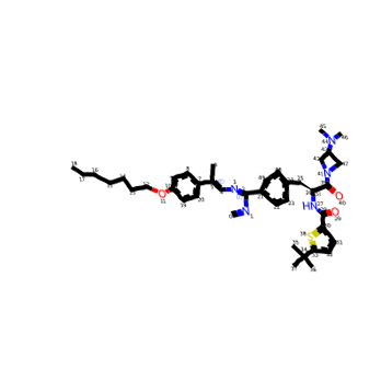 C=N/C(=N\C=C(/C)c1ccc(OCCCCCCC)cc1)c1ccc(C[C@H](NC(=O)c2ccc(C(C)(C)C)s2)C(=O)N2CC(N(C)C)C2)cc1